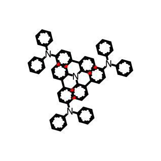 c1ccc(N(c2ccccc2)c2ccc(-c3ccccc3N(c3ccccc3-c3ccc(N(c4ccccc4)c4ccccc4)cc3)c3ccccc3-c3ccc(N(c4ccccc4)c4ccccc4)cc3)cc2)cc1